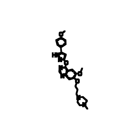 COc1ccc(-c2cc(Oc3ncnc4cc(OCCCN5CCN(C)CC5)c(OC)cc34)n[nH]2)cc1